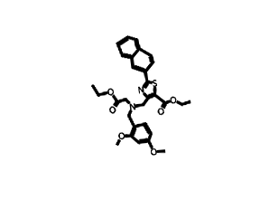 CCOC(=O)CN(Cc1ccc(OC)cc1OC)Cc1nc(-c2ccc3ccccc3c2)sc1C(=O)OCC